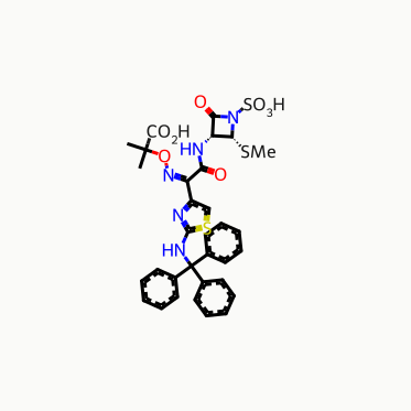 CS[C@@H]1[C@H](NC(=O)C(=NOC(C)(C)C(=O)O)c2csc(NC(c3ccccc3)(c3ccccc3)c3ccccc3)n2)C(=O)N1S(=O)(=O)O